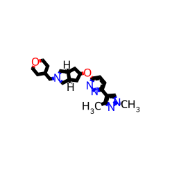 Cc1nn(C)cc1-c1ccc(OC2C[C@@H]3CN(CC4CCOCC4)C[C@@H]3C2)nn1